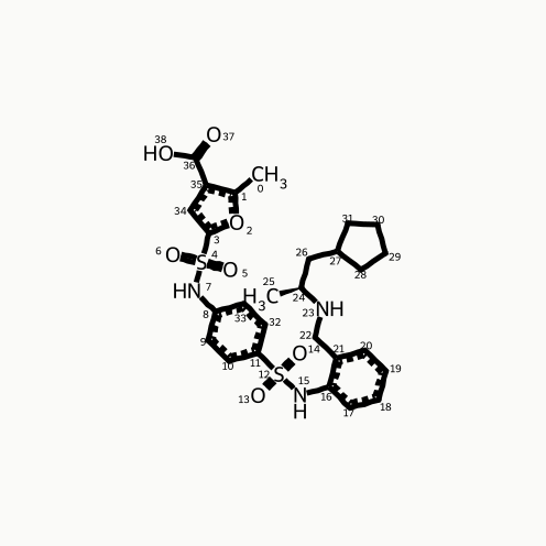 Cc1oc(S(=O)(=O)Nc2ccc(S(=O)(=O)Nc3ccccc3CN[C@@H](C)CC3CCCC3)cc2)cc1C(=O)O